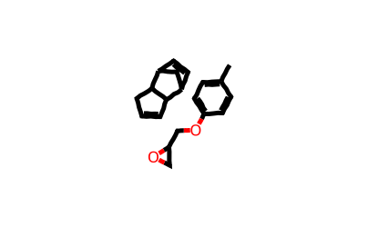 C1=CC2C3C=CC(C3)C2C1.Cc1ccc(OCC2CO2)cc1